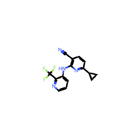 N#Cc1ccc(C2CC2)nc1Nc1cccnc1C(F)(F)F